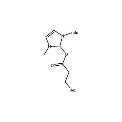 CCCCN1C=CN(C)C1OC(=O)CCC(C)=O